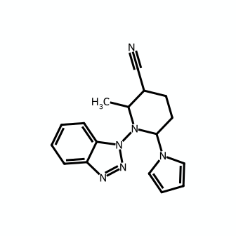 CC1C(C#N)CCC(n2cccc2)N1n1nnc2ccccc21